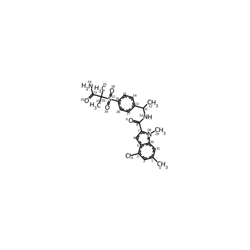 Cc1cc(Cl)c2cc(C(=O)NC(C)c3ccc(S(=O)(=O)C(C)(C)C(N)=O)cc3)n(C)c2c1